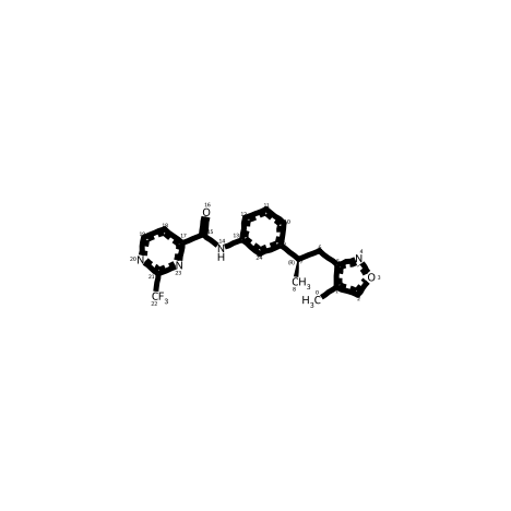 Cc1conc1C[C@@H](C)c1cccc(NC(=O)c2ccnc(C(F)(F)F)n2)c1